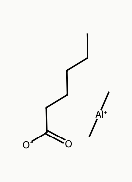 CCCCCC(=O)[O-].[CH3][Al+][CH3]